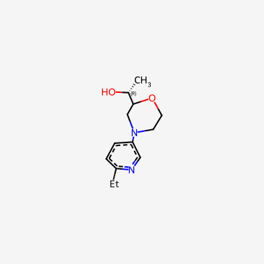 CCc1ccc(N2CCOC([C@@H](C)O)C2)cn1